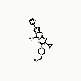 CCN1CCN(C(=O)[C@@H](Nc2nc(N)n3nc(-c4ccco4)nc3n2)C2CC2)CC1